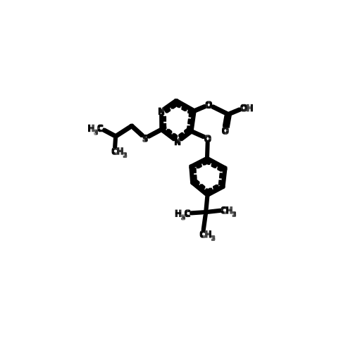 CC(C)CSc1ncc(OC(=O)O)c(Oc2ccc(C(C)(C)C)cc2)n1